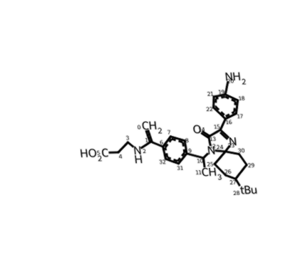 C=C(NCCC(=O)O)c1ccc(C(C)N2C(=O)C(c3ccc(N)cc3)=NC23CCC(C(C)(C)C)CC3)cc1